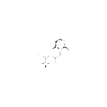 CC(Cn1c(=O)cc[nH]c1=O)OC(O)P(=O)(O)O